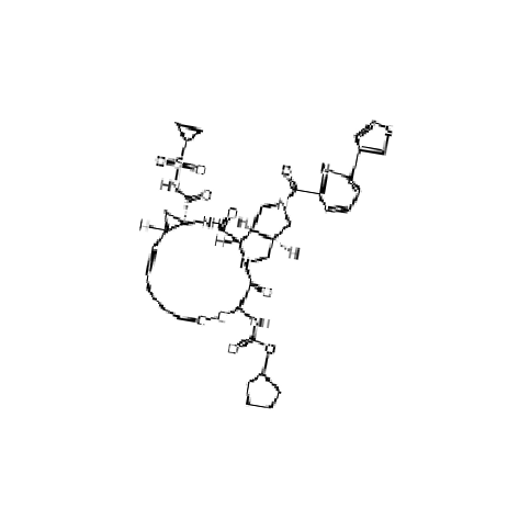 O=C(N[C@H]1CCCCC/C=C\[C@@H]2C[C@@]2(C(=O)NS(=O)(=O)C2CC2)NC(=O)[C@@H]2[C@H]3CN(C(=O)c4cccc(-c5ccsc5)n4)C[C@H]3CN2C1=O)OC1CCCC1